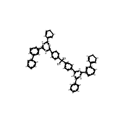 CCC(CC)(c1ccc(-c2nc(C3=CCCC=C3)nc(-c3cccc(-c4ccccc4)c3)n2)cc1)c1ccc(-c2nc(-c3ccccc3)nc(-c3cccc(C4=CCCC=C4)c3)n2)cc1